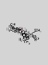 C=C(C)[C@@H]1CC[C@]2(NC[C@@H](CCSC)N3CCS(=O)(=O)CC3)CC[C@]3(C)[C@H](CC[C@@H]4[C@@]5(C)CC[C@H](OC(=O)[C@H]6C[C@@H](C(=O)O)C6(C)C)C(C)(C)[C@@H]5CC[C@]43C)[C@@H]12